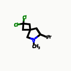 CC(C)C1CC2(CN1C)CC(Cl)(Cl)C2